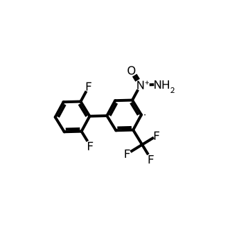 N[N+](=O)c1[c]c(C(F)(F)F)cc(-c2c(F)cccc2F)c1